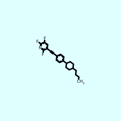 CCCCC1CCC(c2ccc(C#Cc3cc(F)c(F)nc3F)cc2)CC1